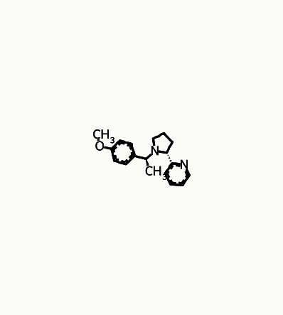 COc1ccc([C@H](C)N2CCC[C@@H]2c2ccccn2)cc1